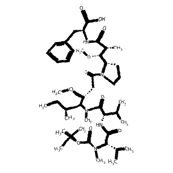 CC[C@H](C)C([C@@H](CC(=O)N1CCC[C@H]1[C@H](OC)[C@@H](C)C(=O)N[C@@H](Cc1ccccc1)C(=O)O)OC)N(C)C(=O)[C@@H](NC(=O)[C@H](C(C)C)N(C)C(=O)OC(C)(C)C)C(C)C